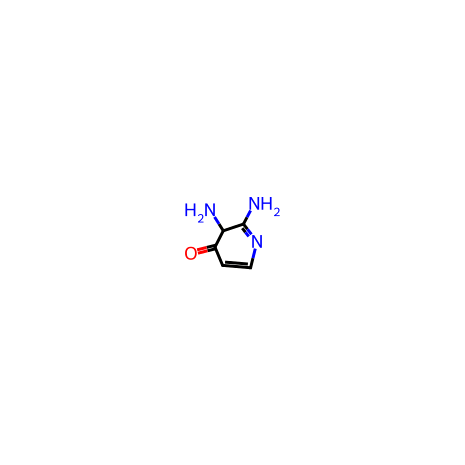 NC1=NC=CC(=O)C1N